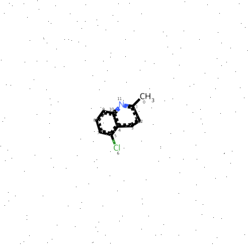 Cc1[c]cc2c(Cl)cccc2n1